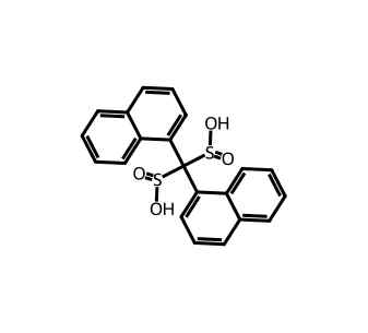 O=S(O)C(c1cccc2ccccc12)(c1cccc2ccccc12)S(=O)O